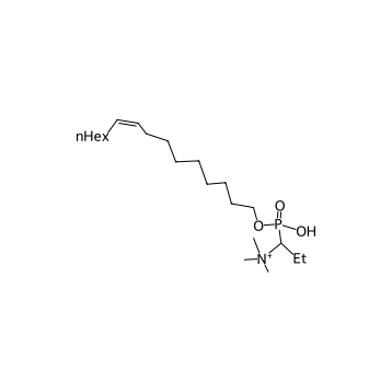 CCCCCC/C=C\CCCCCCCCOP(=O)(O)C(CC)[N+](C)(C)C